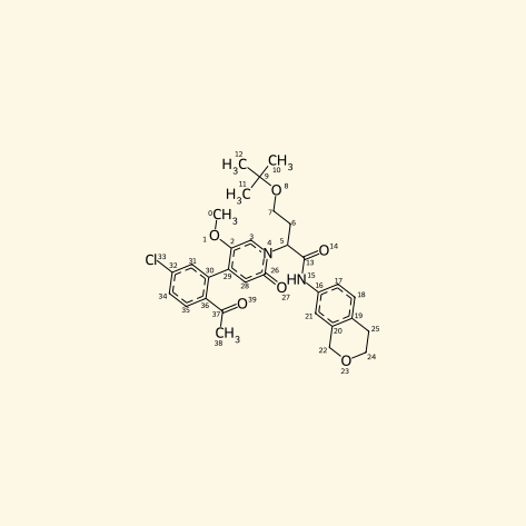 COc1cn(C(CCOC(C)(C)C)C(=O)Nc2ccc3c(c2)COCC3)c(=O)cc1-c1cc(Cl)ccc1C(C)=O